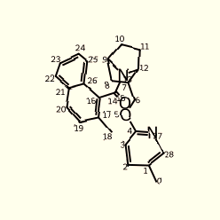 Cc1ccc(OCC2CC3CCC2N3C(=O)c2c(C)ccc3ccccc23)nc1